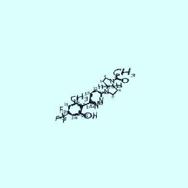 CC(=O)N1CC[C@H]2[C@@H]1CCN2c1ccc(-c2c(C)cc(C(F)(F)F)cc2O)nn1